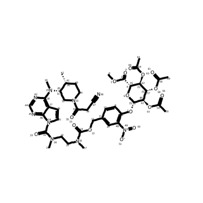 COC(=O)[C@H]1O[C@@H](Oc2ccc(COC(=O)N(C)CCN(C)C(=O)n3ccc4c(N(C)[C@H]5CN(C(=O)CC#N)CC[C@H]5C)ncnc43)cc2[N+](=O)[O-])[C@H](OC(C)=O)[C@@H](OC(C)=O)[C@@H]1OC(C)=O